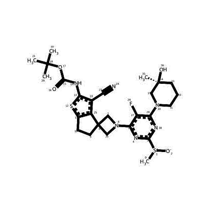 C[S+]([O-])c1nc(N2CC3(CCc4sc(NC(=O)OC(C)(C)C)c(C#N)c43)C2)c(F)c(N2CCC[C@](C)(O)C2)n1